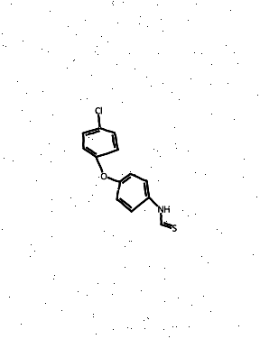 S=CNc1ccc(Oc2ccc(Cl)cc2)cc1